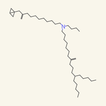 C=C(CCCCCCCN(CCCC)CCCCCCCCCC(=C)CC12CC1C2)CCCC(CCCCC)CCCCC